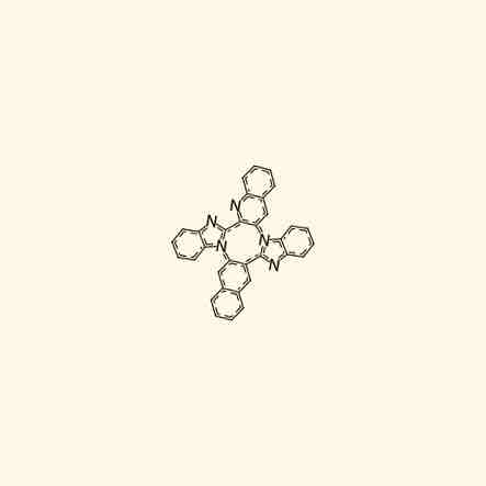 c1ccc2cc3c(cc2c1)c1nc2ccccc2n1c1cc2ccccc2nc1c1nc2ccccc2n31